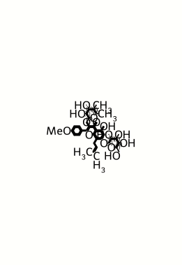 COc1ccc(-c2oc3c(CC=C(C)C)c(O[C@@H]4O[C@H](CO)[C@@H](O)[C@H](O)[C@H]4O)cc(O)c3c(=O)c2O[C@@H]2O[C@@H](C)[C@H](C)[C@@H](O)[C@H]2O)cc1